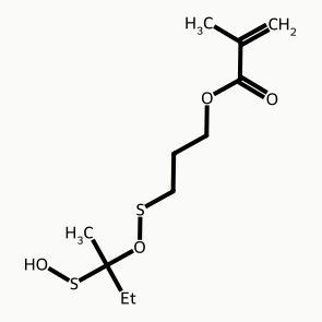 C=C(C)C(=O)OCCCSOC(C)(CC)SO